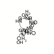 NC(=O)[C@@H]1CC(=O)NCCCC[C@@H](NC(=O)[C@@H](N)Cc2ccc(O)cc2)C(=O)N[C@@H](Cc2c[nH]c3ccccc23)C(=O)N[C@@H](Cc2ccccc2)C(=O)N1